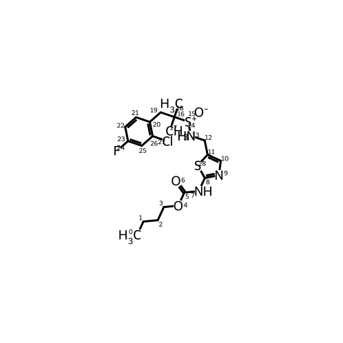 CCCCOC(=O)Nc1ncc(CN[S+]([O-])C(C)(C)Cc2ccc(F)cc2Cl)s1